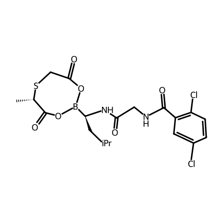 CC(C)C[C@H](NC(=O)CNC(=O)c1cc(Cl)ccc1Cl)B1OC(=O)CS[C@@H](C)C(=O)O1